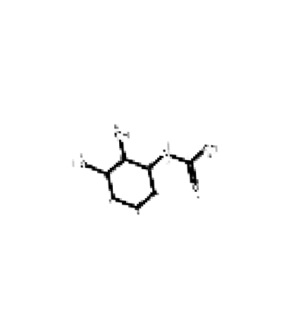 O=C(NC1CCCC(O)C1O)C(Cl)(Cl)Cl